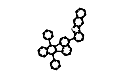 c1ccc(-c2c3c(c(-c4ccccc4)c4ccccc24)-c2ccc(-c4cccc5c4sc4cc6ccccc6cc45)c4cccc-3c24)cc1